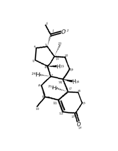 CC(=O)[C@H]1CC[C@H]2[C@@H]3CC(C)C4=CC(=O)CC[C@@H]4[C@H]3CC[C@]12C